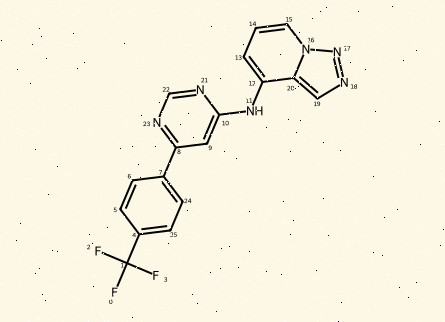 FC(F)(F)c1ccc(-c2cc(Nc3cccn4nncc34)ncn2)cc1